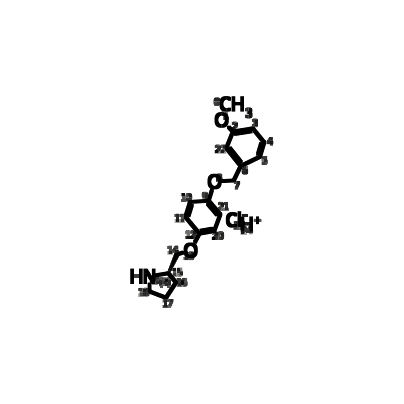 COc1cccc(COc2ccc(OC[C@H]3CCCN3)cc2)c1.[Cl-].[H+]